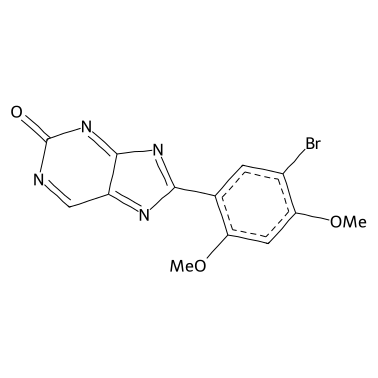 COc1cc(OC)c(C2=NC3=NC(=O)N=CC3=N2)cc1Br